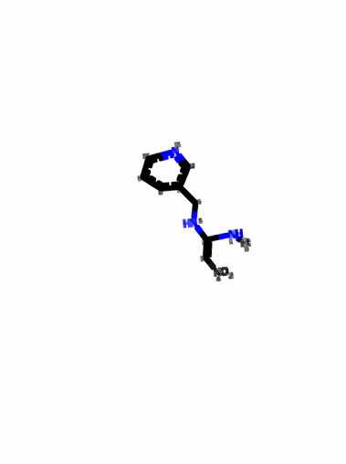 CCNC(=C[N+](=O)[O-])NCc1cccnc1